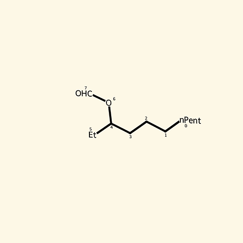 CCCCCCCCC(CC)OC=O